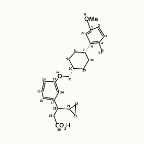 COc1ccc(F)c([C@H]2CC[C@@H](COc3cccc(C(CC(=O)O)C4CC4)c3)CC2)c1